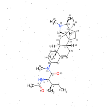 CC[C@@H](C)[C@@H](NC(C)=O)C(=O)N(C)[C@H]1CC[C@@]2(C)C(=CC[C@H]3[C@@H]4CC[C@@H]5[C@H](C)N(C)C[C@@]54CC[C@@H]32)C1